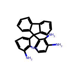 Nc1cccc(C2(c3cccc(N)c3N)c3ccccc3-c3ccccc32)c1N